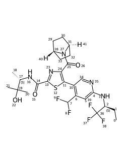 CC[C@H](Nc1cc(C(F)F)c(-c2sc(C(=O)N[C@@H](C)C(C)(C)O)nc2C(=O)N2[C@H]3CC[C@H]2CC3)cn1)C(F)(F)F